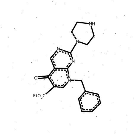 CCOC(=O)c1cn(Cc2ccccc2)c2nc(N3CCNCC3)ncc2c1=O